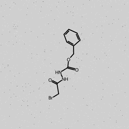 O=C(CBr)NNC(=O)OCc1ccccc1